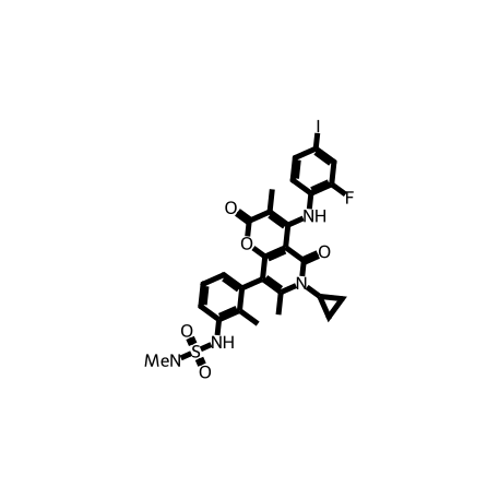 CNS(=O)(=O)Nc1cccc(-c2c(C)n(C3CC3)c(=O)c3c(Nc4ccc(I)cc4F)c(C)c(=O)oc23)c1C